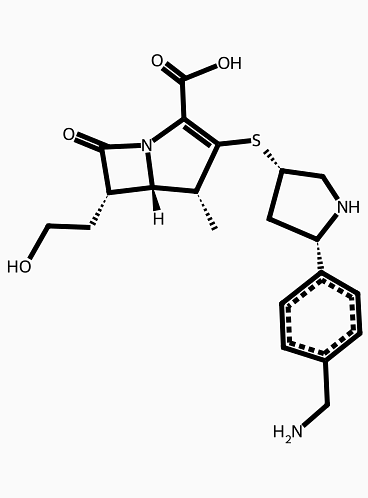 C[C@H]1C(S[C@@H]2CN[C@H](c3ccc(CN)cc3)C2)=C(C(=O)O)N2C(=O)[C@@H](CCO)[C@@H]12